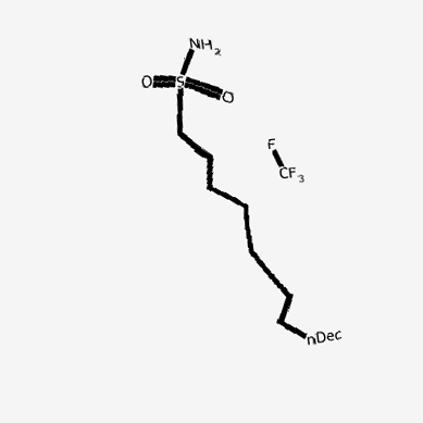 CCCCCCCCCCCCCCCCCS(N)(=O)=O.FC(F)(F)F